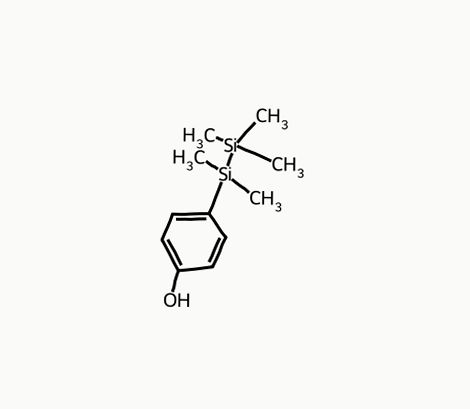 C[Si](C)(C)[Si](C)(C)c1ccc(O)cc1